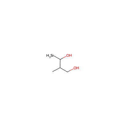 CC(CO)C(O)[SiH3]